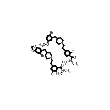 CN(C)C(=O)c1cc(Cl)cc(CCN2CCC(Cc3cc4c(cc3Br)OCO4)CC2)c1.COc1ccc(Br)c(CC2CCN(CCc3ccc(C(=O)N(C)C)c(Cl)c3)CC2)c1